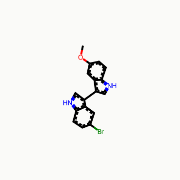 COc1ccc2[nH]cc(-c3c[nH]c4ccc(Br)cc34)c2c1